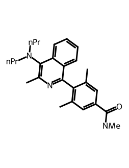 CCCN(CCC)c1c(C)nc(-c2c(C)cc(C(=O)NC)cc2C)c2ccccc12